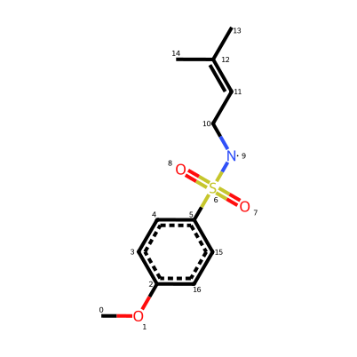 COc1ccc(S(=O)(=O)[N]CC=C(C)C)cc1